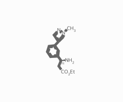 CCOC(=O)C[C@H](N)c1cccc(-c2cnn(C)c2)c1